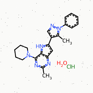 Cc1nc(N2CCCCC2)c2[nH]c(-c3cnn(-c4ccccc4)c3C)cc2n1.Cl.O